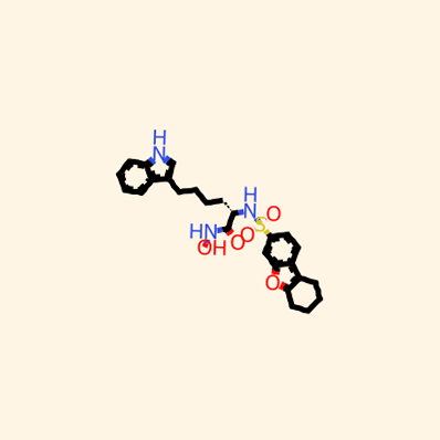 O=C(NO)[C@H](CCCCc1c[nH]c2ccccc12)NS(=O)(=O)c1ccc2c3c(oc2c1)CCCC3